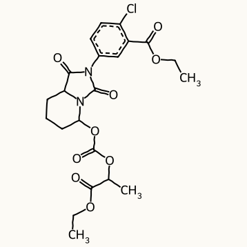 CCOC(=O)c1cc(N2C(=O)C3CCCC(OC(=O)OC(C)C(=O)OCC)N3C2=O)ccc1Cl